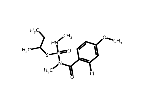 CCC(C)SP(=O)(NC)N(C)C(=O)c1ccc(OC)cc1Cl